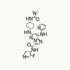 CN(C)C(=O)NC1CCC(Nc2cc(Nc3ccccn3)c3ncc(C(=O)Nc4ccncc4F)n3n2)CC1